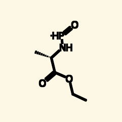 CCOC(=O)[C@H](C)N[PH]=O